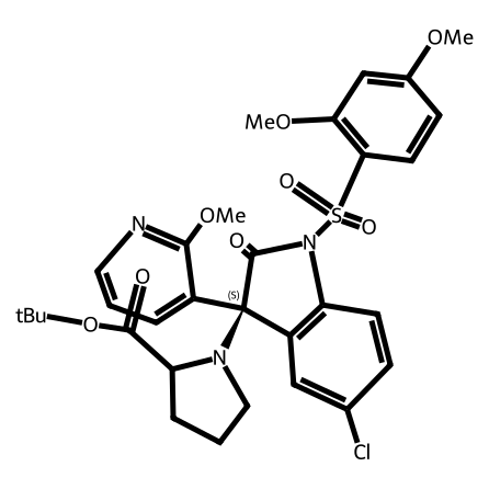 COc1ccc(S(=O)(=O)N2C(=O)[C@](c3cccnc3OC)(N3CCCC3C(=O)OC(C)(C)C)c3cc(Cl)ccc32)c(OC)c1